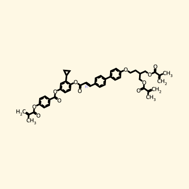 C=C(C)C(=O)OCC(CCOc1ccc(-c2ccc(/C=C/C(=O)Oc3ccc(OC(=O)c4ccc(OC(=O)C(=C)C)cc4)cc3C3CC3)cc2)cc1)COC(=O)C(=C)C